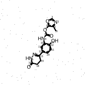 Cc1ncoc1OC(=O)Nc1cc(C2=NNC(=O)CC2)ccc1O